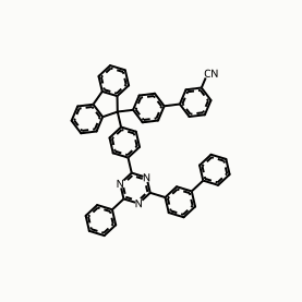 N#Cc1cccc(-c2ccc(C3(c4ccc(-c5nc(-c6ccccc6)nc(-c6cccc(-c7ccccc7)c6)n5)cc4)c4ccccc4-c4ccccc43)cc2)c1